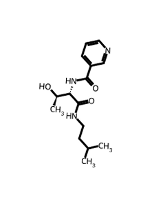 CC(C)CCNC(=O)[C@@H](NC(=O)c1cccnc1)[C@@H](C)O